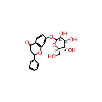 O=C1CC(c2ccccc2)Oc2cc(OC3O[C@H](CO)[C@@H](O)[C@H](O)[C@H]3O)ccc21